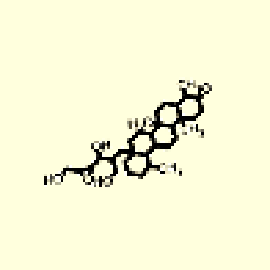 CC1CCCC2(CC(CO)C(O)C3OC3CO)CCC3C(=CCC4C3(C)CCC3C(C)C(=O)CCC34C)C12